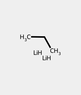 CCC.[LiH].[LiH]